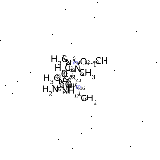 C#CCO/C(=C/N=C)N(C)C(C)[C@H](C/C(F)=C/C=C)S(=O)(=O)N(C)C(=N)N